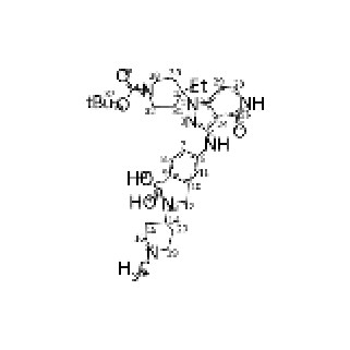 CCC1(n2nc(Nc3ccc4c(c3)CN(C3CCN(C)CC3)S4(O)O)c3c(=O)[nH]ccc32)CCN(C(=O)OC(C)(C)C)CC1